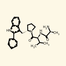 CC(C)[C@H](NC(=O)[C@H](C)N)C(=O)N1CCC[C@H]1Cc1c(-c2ccccc2)[nH]c2ccccc12